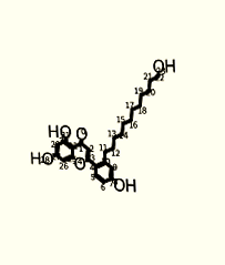 O=c1cc(-c2ccc(O)cc2CCCCCCCCCCCCO)oc2cc(O)cc(O)c12